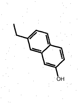 CCc1ccc2ccc(O)cc2c1